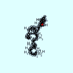 C[C@H](NC(=O)CCc1cc(F)c(N2C(=O)C=CC2=O)cc1OCCCC(=O)N(C)CC(=O)N(C)CC(=O)N(C)CC(=O)N(C)CC(=O)N(C)CC(=O)N(C)CC(=O)N(C)CC(=O)N(C)CC(=O)N(C)CC(=O)N(C)CC(=O)O)C(=O)N[C@@H](C)C(=O)Nc1cccc(Cc2csc([C@@H]3O[C@@H]4C[C@H]5[C@@H]6C[C@H](F)C7=CC(=O)C=C[C@]7(C)[C@@]6(F)[C@@H](O)C[C@]5(C)[C@]4(C(=O)CO)O3)c2)c1